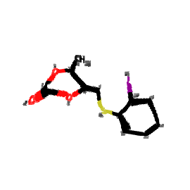 Cc1oc(=O)oc1CSc1ccccc1I